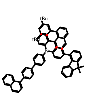 CC(C)(C)c1cc(-c2cccc3cccc(-c4ccccc4N(c4ccc(-c5ccc(-c6cccc7ccccc67)cc5)cc4)c4ccc(-c5cccc6c5-c5ccccc5C6(C)C)cc4)c23)cc(C(C)(C)C)c1